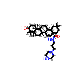 CC1(C)CC[C@]2(C(=O)NCCCN3CCNCC3)CC[C@]3(C)C(=C2C1)CC[C@@H]1[C@@]2(C)CC[C@H](O)C(C)(C)[C@@H]2CC[C@]13C